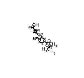 CC(C)(C)OC(=O)N1CCN2C(=O)N(C34CC(C(=O)O)(C3)C4)CC2C1